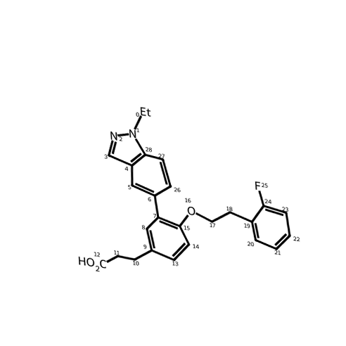 CCn1ncc2cc(-c3cc(CCC(=O)O)ccc3OCCc3ccccc3F)ccc21